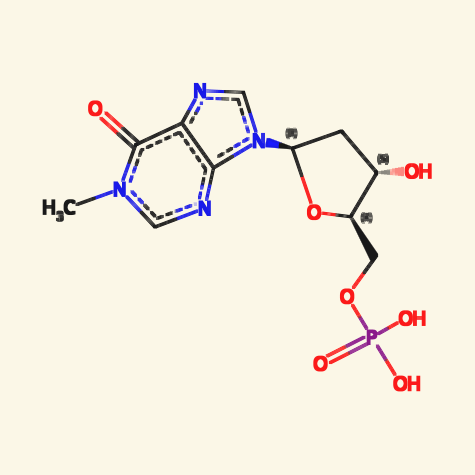 Cn1cnc2c(ncn2[C@H]2C[C@H](O)[C@@H](COP(=O)(O)O)O2)c1=O